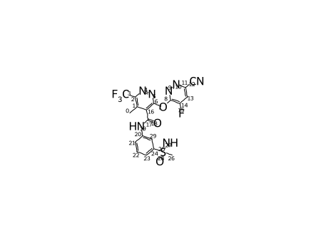 Cc1c(C(F)(F)F)nnc(Oc2nnc(C#N)cc2F)c1C(=O)Nc1cccc(S(C)(=N)=O)c1